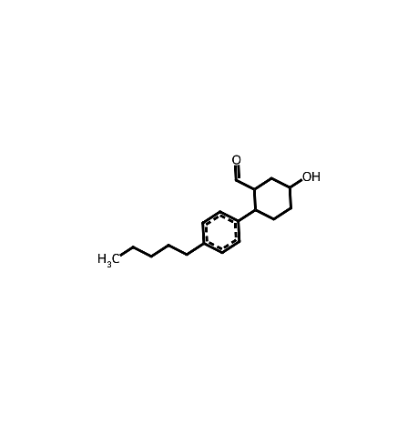 CCCCCc1ccc(C2CCC(O)CC2C=O)cc1